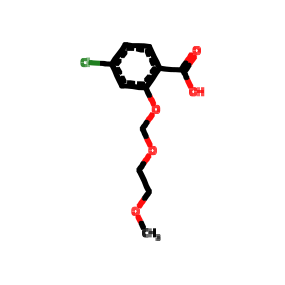 COCCOCOc1cc(Cl)ccc1C(=O)O